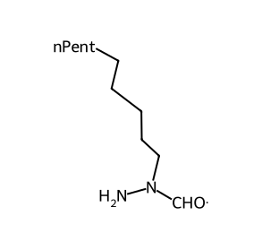 CCCCCCCCCCN(N)[C]=O